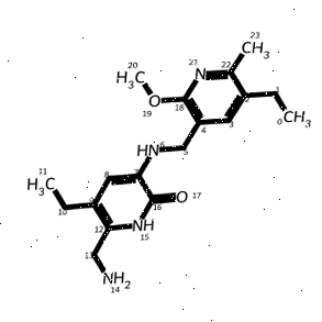 CCc1cc(CNc2cc(CC)c(CN)[nH]c2=O)c(OC)nc1C